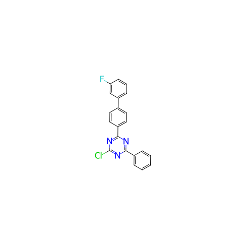 Fc1cccc(-c2ccc(-c3nc(Cl)nc(-c4ccccc4)n3)cc2)c1